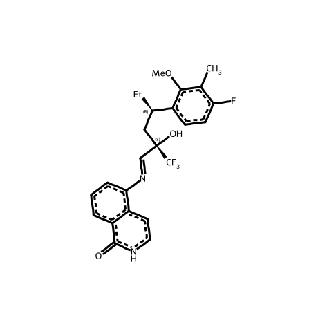 CC[C@H](C[C@](O)(C=Nc1cccc2c(=O)[nH]ccc12)C(F)(F)F)c1ccc(F)c(C)c1OC